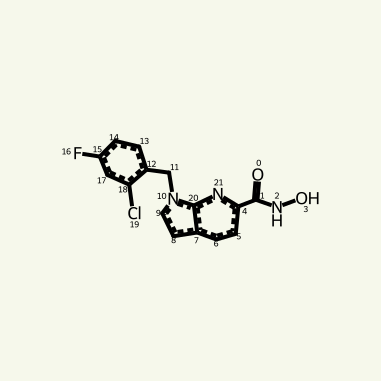 O=C(NO)c1ccc2ccn(Cc3ccc(F)cc3Cl)c2n1